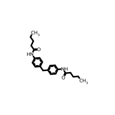 CCCCC(=O)Nc1ccc(Cc2ccc(NC(=O)CCCC)cc2)cc1